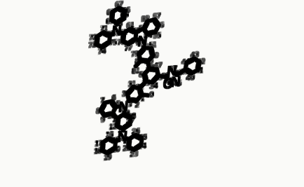 Cc1cc(-n2c3ccccc3c3cc(N(c4ccccc4)c4ccccc4)ccc32)ccc1-c1cc(-c2nc(-c3ccccc3)no2)cc(-c2ccc(-n3c4ccccc4c4cc(N(c5ccccc5)c5ccccc5)ccc43)cc2C)c1